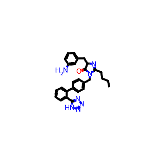 CCCCC1=NC(Cc2cccc(N)c2)C(=O)N1Cc1ccc(-c2ccccc2-c2nnn[nH]2)cc1